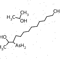 CC(C)O.CCCCCCCCCCCC([AsH2])C(C)O